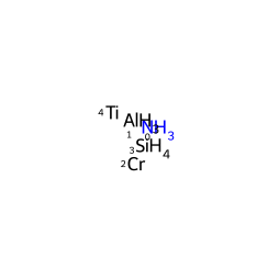 N.[AlH3].[Cr].[SiH4].[Ti]